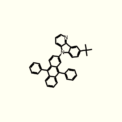 CC(C)(C)c1ccc2c(c1)c1ncccc1n2-c1ccc2c(-c3ccccc3)c3ccccc3c(-c3ccccc3)c2c1